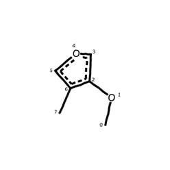 COc1cocc1C